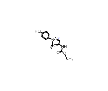 CCOC(=O)NC(=O)/C=N\N(C#N)c1ccc(O)cc1